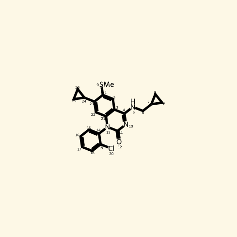 CSc1cc2c(NCC3CC3)nc(=O)n(-c3ccccc3Cl)c2cc1C1CC1